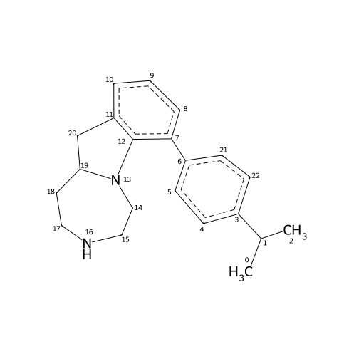 CC(C)c1ccc(-c2cccc3c2N2CCNCCC2C3)cc1